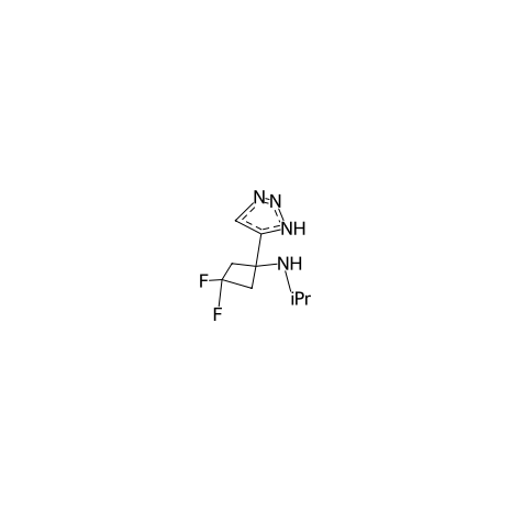 CC(C)NC1(c2cnn[nH]2)CC(F)(F)C1